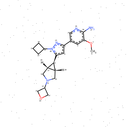 COc1cc(-c2cc([C@H]3[C@@H]4CN(C5COC5)C[C@@H]43)n(C3CCC3)n2)cnc1N